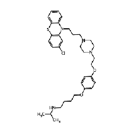 CC(C)NCCCCOc1ccc(OCCN2CCN(CCCN3c4ccccc4Sc4ccc(Cl)cc43)CC2)cc1